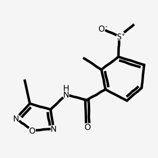 Cc1nonc1NC(=O)c1cccc([S+](C)[O-])c1C